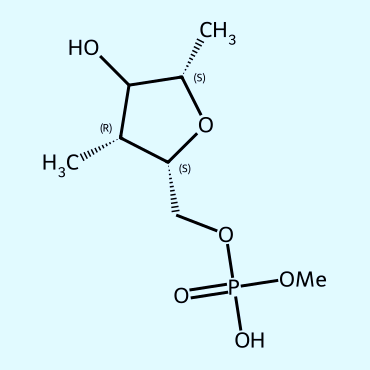 COP(=O)(O)OC[C@H]1O[C@@H](C)C(O)[C@H]1C